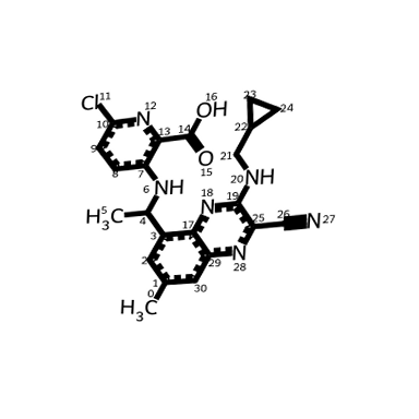 Cc1cc(C(C)Nc2ccc(Cl)nc2C(=O)O)c2nc(NCC3CC3)c(C#N)nc2c1